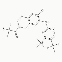 [CH3][Sn]([CH3])([CH3])[c]1nc(Nc2cc3c(cc2Cl)CCN(C(=O)C(F)(F)F)C3)ncc1C(F)(F)F